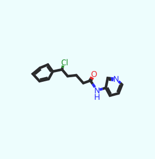 O=C(CCCC(Cl)c1ccccc1)Nc1cccnc1